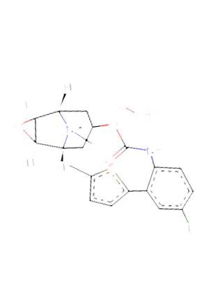 Cc1ccc(-c2cc(F)ccc2NC(=O)OC2C[C@@H]3[C@H]4O[C@H]4[C@H](C2)[N+]3(C)C)s1.O=C[O-]